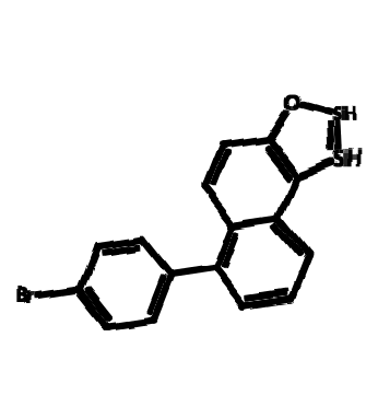 Brc1ccc(-c2cccc3c2ccc2o[siH][siH]c23)cc1